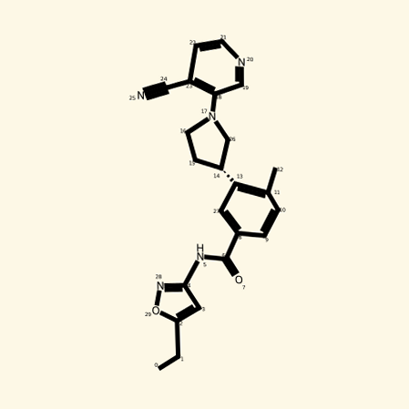 CCc1cc(NC(=O)c2ccc(C)c([C@@H]3CCN(c4cnccc4C#N)C3)c2)no1